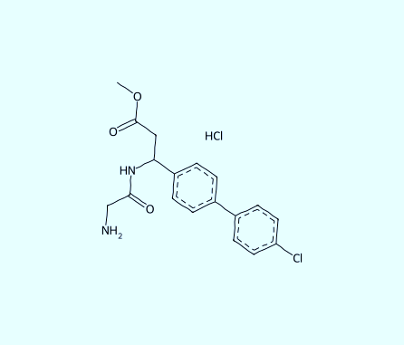 COC(=O)CC(NC(=O)CN)c1ccc(-c2ccc(Cl)cc2)cc1.Cl